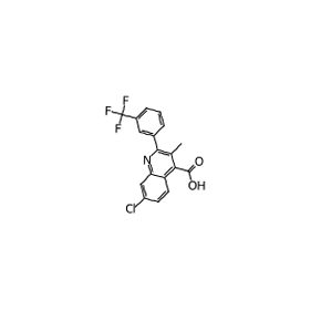 Cc1c(-c2cccc(C(F)(F)F)c2)nc2cc(Cl)ccc2c1C(=O)O